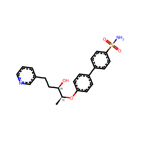 C[C@H](Oc1ccc(-c2ccc(S(N)(=O)=O)cc2)cc1)[C@H](O)CCc1cccnc1